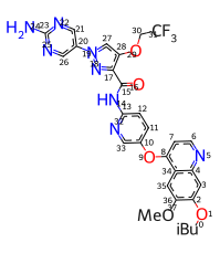 CCC(C)Oc1cc2nccc(Oc3ccc(NC(=O)c4nn(-c5cnc(N)nc5)cc4OCC(F)(F)F)nc3)c2cc1OC